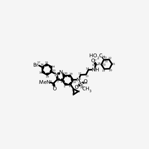 CNC(=O)c1c2cc(C3CC3)c(N(CCCNC(=O)[C@H]3CCCC[C@@H]3C(=O)O)S(C)(=O)=O)cc2nn1-c1ccc(Br)cc1